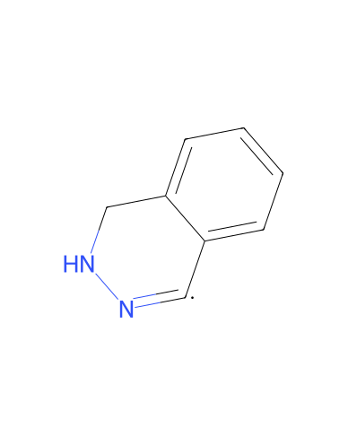 [C]1=NNCc2ccccc21